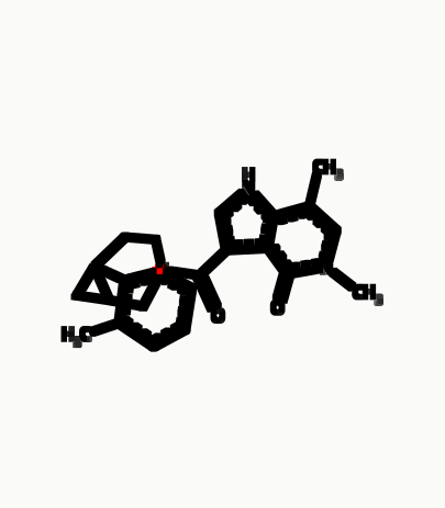 Cc1ccccc1C12CCN(C(=O)c3c[nH]c4c(C)cn(C)c(=O)c34)CC1C2